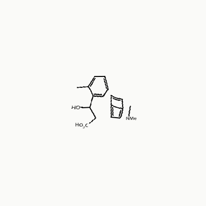 CNC.Cc1ccccc1C(O)CC(=O)O.c1cc2ccc1-2